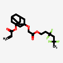 C=CC(=O)OC12CC3CC(CC(OCC(=O)OCCC(F)(F)CC(F)(F)C(F)(F)F)(C3)C1)C2